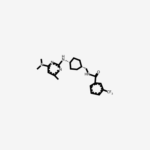 Cc1cc(N(C)C)nc(N[C@H]2CC[C@@H](CNC(=O)c3cccc(C(F)(F)F)c3)CC2)n1